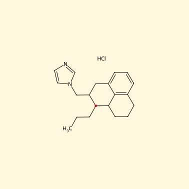 CCCCC12CCCc3cccc(c31)CC(Cn1ccnc1)C2.Cl